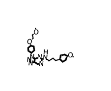 COCCOc1ccc(-n2nnc3cnc(NCCCc4ccc(OC)cc4)nc32)cc1